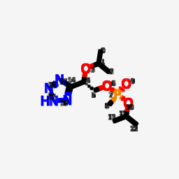 CC(C)O[C@H](COP(C)(=O)OC(C)C)c1nn[nH]n1